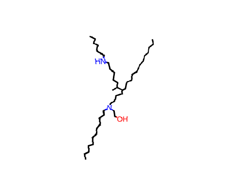 CCCCCCCCCCCCC(CCCCN(CCO)CCCCCCCCCCCC)C(C)CCCCCNCCCCCC